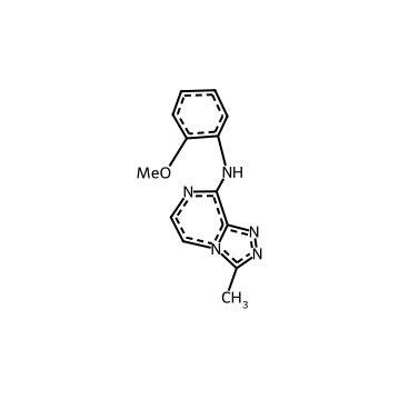 COc1ccccc1Nc1nccn2c(C)nnc12